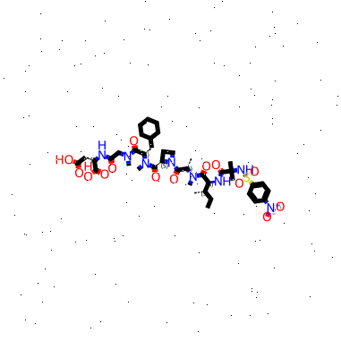 CC[C@H](C)[C@H](NC(=O)C(C)(C)NS(=O)(=O)c1ccc([N+](=O)[O-])cc1)C(=O)N(C)[C@@H](C)C(=O)N1CC[C@H]1C(=O)N(C)[C@@H](CC1CCCCC1)C(=O)N(C)CC(=O)N[C@@H](CC(=O)O)C(=O)O